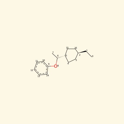 CC[C@H]1CC[C@H](C(C)Oc2ccccc2)CC1